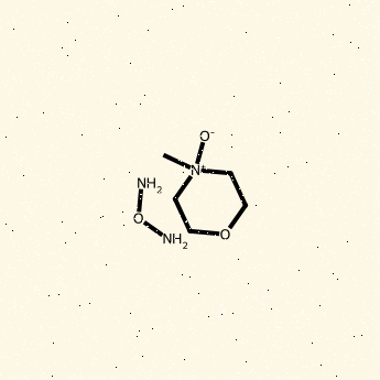 C[N+]1([O-])CCOCC1.NON